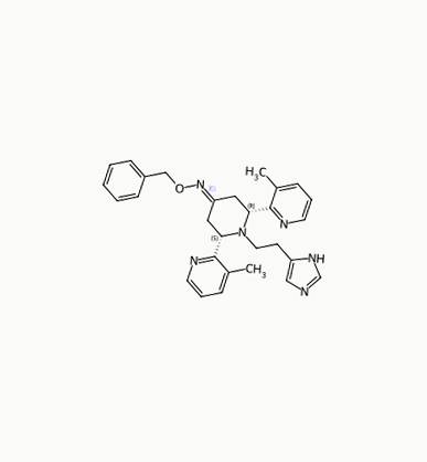 Cc1cccnc1[C@H]1C/C(=N/OCc2ccccc2)C[C@@H](c2ncccc2C)N1CCc1cnc[nH]1